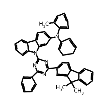 Cc1ccccc1N(C1=CCCC=C1)c1ccc2c3ccccc3n(-c3nc(-c4ccccc4)nc(-c4ccc5c(c4)C(C)(C)c4ccccc4-5)n3)c2c1